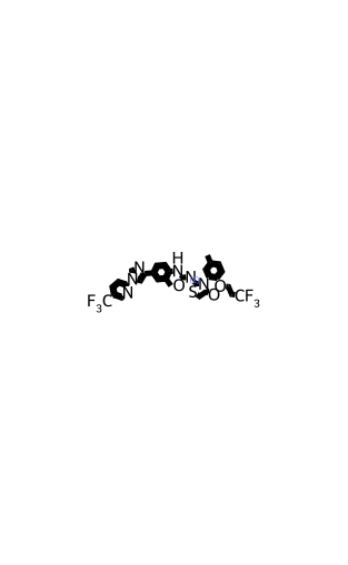 Cc1ccc(OCCC(F)(F)F)c(N2C(=O)CS/C2=N\C(=O)Nc2ccc(-c3cn(-c4ccc(C(F)(F)F)cn4)cn3)cc2C)c1